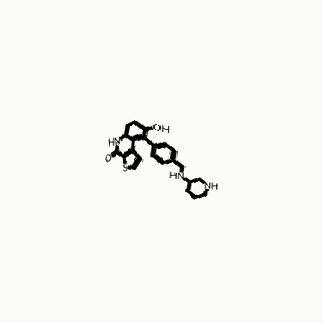 O=c1[nH]c2ccc(O)c(-c3ccc(CNC4CCCNC4)cc3)c2c2ccsc12